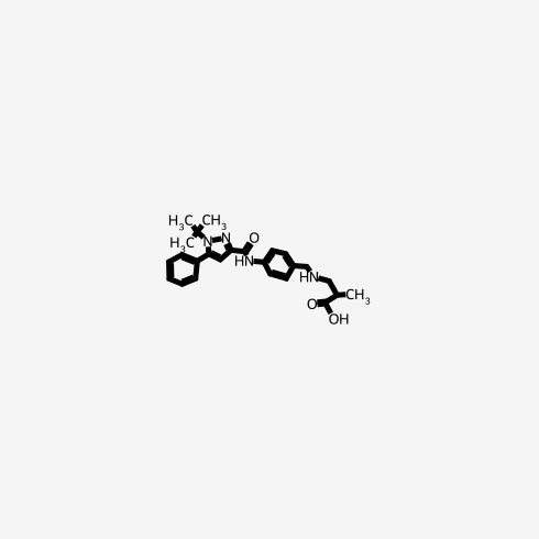 CC(CNCc1ccc(NC(=O)c2cc(-c3ccccc3)n(C(C)(C)C)n2)cc1)C(=O)O